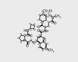 CCOC(=O)N1CCN(C(=O)C(CCC(=O)N(C)C)NC(=O)c2cc(OCC(=O)N3CCCC3C(=O)NC3CCC3)c3ccc(C)cc3n2)CC1